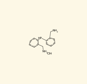 Cl.NCc1ccccc1Pc1ccccc1CN